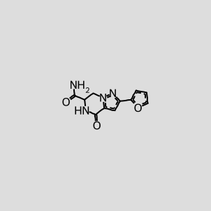 NC(=O)C1Cn2nc(-c3ccco3)cc2C(=O)N1